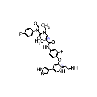 CCN(/C=C(\C)C(=O)Nc1ccc(OC2=CC(c3cn[nH]c3)=CN/C2=C\C=N)c(F)c1)C(=O)N(C=O)c1ccc(F)cc1